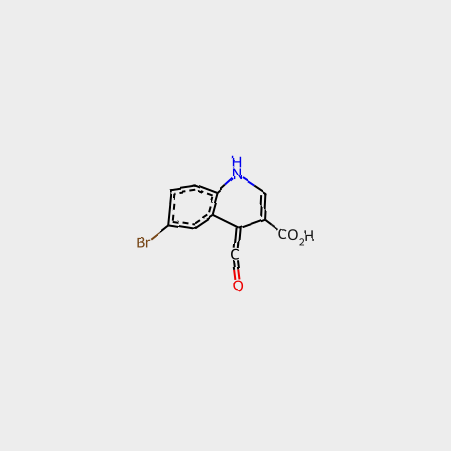 O=C=C1C(C(=O)O)=CNc2ccc(Br)cc21